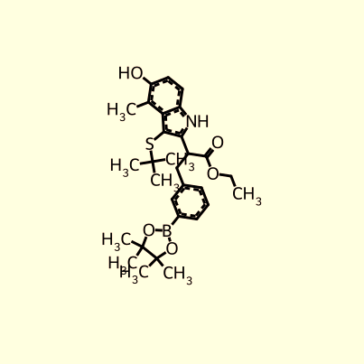 CCOC(=O)C(Cc1cccc(B2OC(C)(C)C(C)(C)O2)c1)c1[nH]c2ccc(O)c(C)c2c1SC(C)(C)C